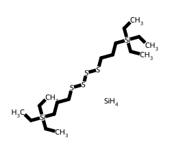 CC[Si](CC)(CC)CCCSSSSCCC[Si](CC)(CC)CC.[SiH4]